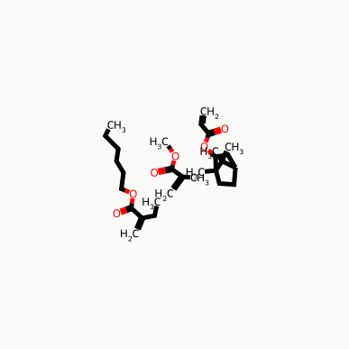 C=C(C)C(=O)OC.C=C(CC)C(=O)OCCCCCC.C=CC(=O)OC1CC2CCC1(C)C2(C)C